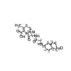 CC1=C(C(=O)O)N2C(=O)C(NC(=O)CNc3ccc4cc(Cl)ccc4c3)[C@@H]2SC1